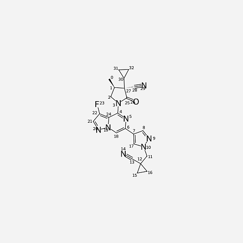 C[C@@H]1CN(c2nc(-c3cnn(CC4(C#N)CC4)c3)cn3ncc(F)c23)C(=O)[C@]1(C#N)C1CC1